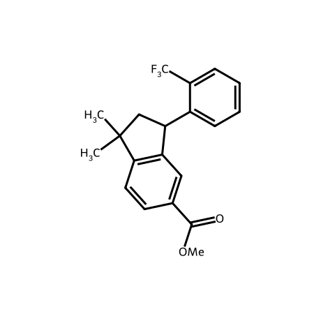 COC(=O)c1ccc2c(c1)C(c1ccccc1C(F)(F)F)CC2(C)C